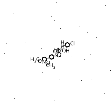 COc1ccc(-c2ccc(N3CCC[C@@H](NC(O)Nc4ccc(Cl)cc4)C3=O)cc2)c(OC)n1